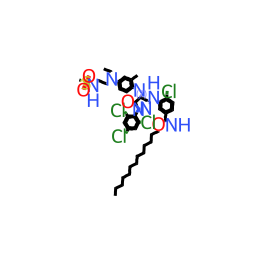 CCCCCCCCCCCCCOC(=N)c1ccc(Cl)c(NC2=NN(c3c(Cl)cc(Cl)cc3Cl)C(=O)/C2=N\c2ccc(N(CC)CCNS(C)(=O)=O)cc2C)c1